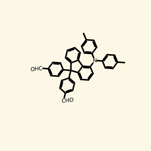 Cc1ccc(N(c2ccc(C)cc2)c2cccc3c2-c2ccccc2C3(c2ccc(C=O)cc2)c2ccc(C=O)cc2)cc1